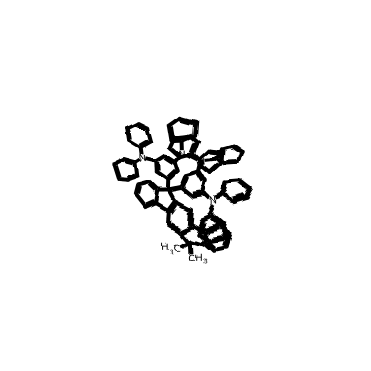 CC1(C)c2ccccc2-c2cc3c(cc21)-c1ccccc1C3(c1cc(N(c2ccccc2)c2ccccc2)cc(N(c2ccccc2)c2ccccc2)c1)c1cc(N(c2ccccc2)c2ccccc2)cc(N(c2ccccc2)c2ccccc2)c1